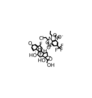 CCCN(CCCl)c1c([N+](=O)[O-])cc(C(F)(F)F)cc1[N+](=O)[O-].C[C@@H]1C[C@H]2[C@@H]3C[C@H](F)C4=CC(=O)C=C[C@]4(C)[C@@]3(F)[C@@H](O)C[C@]2(C)[C@@]1(O)C(=O)CO